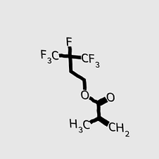 C=C(C)C(=O)OCCC(F)(C(F)(F)F)C(F)(F)F